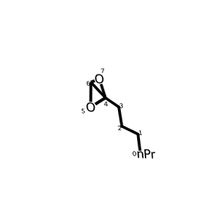 CCCCCCC12OC1O2